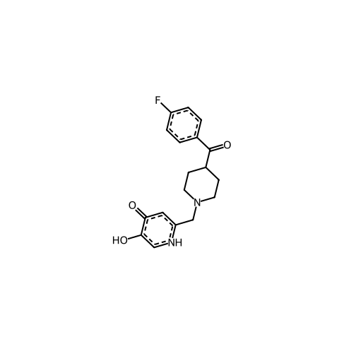 O=C(c1ccc(F)cc1)C1CCN(Cc2cc(=O)c(O)c[nH]2)CC1